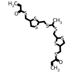 C=CC(=O)SCC1CSC(CSC(C)SCC2SCC(CSC(=O)C=C)S2)S1